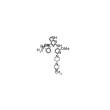 COc1nc(N2CCC(N3CCN(C)CC3)CC2)ccc1Nc1nc(Nc2ccccc2P(C)(C)=O)c2cc[nH]c2n1